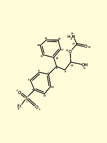 CCS(=O)(=O)c1ccc(C(CC(O)OC(N)=O)c2ccccc2)cc1